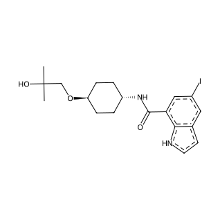 CC(C)(O)CO[C@H]1CC[C@H](NC(=O)c2cc(I)cc3cc[nH]c23)CC1